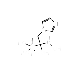 CP(O)(O)(O)C(O)(Cn1ccnc1)PO